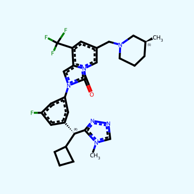 C[C@H]1CCCN(Cc2cc(C(F)(F)F)c3cn(-c4cc(F)cc([C@H](c5nncn5C)C5CCC5)c4)c(=O)n3c2)C1